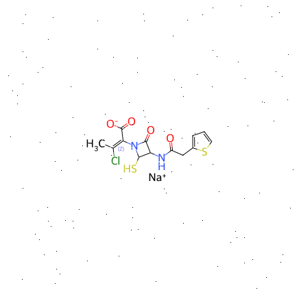 C/C(Cl)=C(\C(=O)[O-])N1C(=O)C(NC(=O)Cc2cccs2)C1S.[Na+]